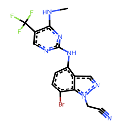 CNc1nc(Nc2ccc(Br)c3c2cnn3CC#N)ncc1C(F)(F)F